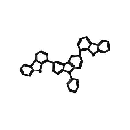 c1ccc(-n2c3ccc(-c4cccc5c4sc4ccccc45)cc3c3cc(-c4cccc5c4sc4ccccc45)ccc32)cc1